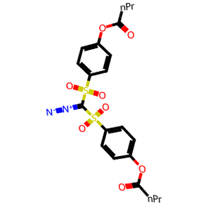 CCCC(=O)Oc1ccc(S(=O)(=O)C(=[N+]=[N-])S(=O)(=O)c2ccc(OC(=O)CCC)cc2)cc1